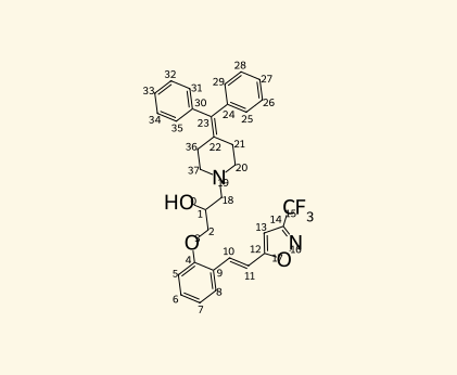 OC(COc1ccccc1C=Cc1cc(C(F)(F)F)no1)CN1CCC(=C(c2ccccc2)c2ccccc2)CC1